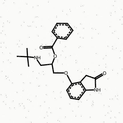 CC(C)(C)NCC(COc1cccc2c1CC(=O)N2)OC(=O)c1ccccc1